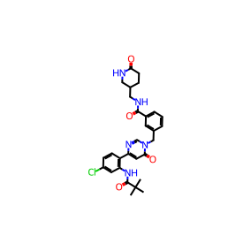 CC(C)(C)C(=O)Nc1cc(Cl)ccc1-c1cc(=O)n(Cc2cccc(C(=O)NCC3CCC(=O)NC3)c2)cn1